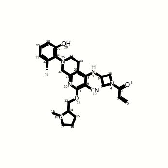 C=CC(=O)N1CC(Nc2c(C#N)c(OCC3CCCN3C)nc3c2CCN(c2c(O)cccc2F)C3)C1